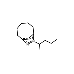 CCCC(C)n1nc2cc1CCCCC2